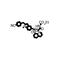 CCOC(=O)CNC(=O)CN1C=CC=C2C=CC=C(S(=O)(=O)Nc3ccc4c(c3)cc(Cc3ccc(C#N)cc3)n4C)C21